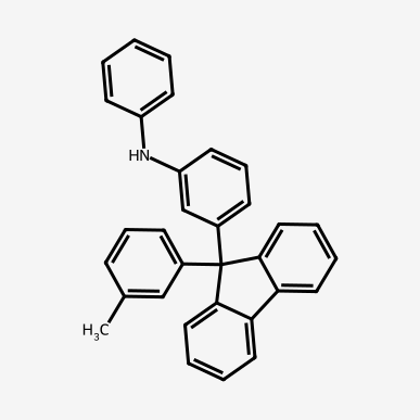 Cc1cccc(C2(c3cccc(Nc4ccccc4)c3)c3ccccc3-c3ccccc32)c1